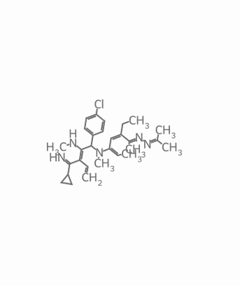 C=C/C(C(=N)C1CC1)=C(/NC)C(c1ccc(Cl)cc1)N(C)C(/C=C(CC)\C(C)=N\N=C(C)C)=C/C